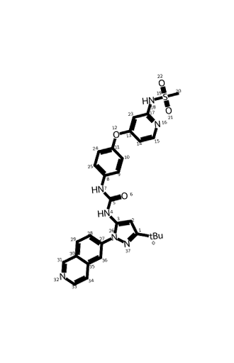 CC(C)(C)c1cc(NC(=O)Nc2ccc(Oc3ccnc(NS(C)(=O)=O)c3)cc2)n(-c2ccc3cnccc3c2)n1